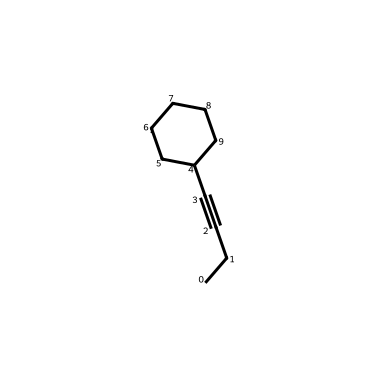 CCC#CC1C[CH]CCC1